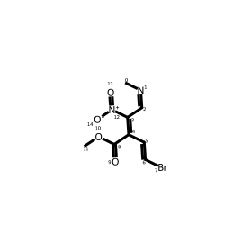 C\N=C/C(=C(\C=C\Br)C(=O)OC)[N+](=O)[O-]